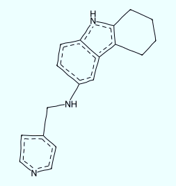 c1cc(CNc2ccc3[nH]c4c(c3c2)CCCC4)ccn1